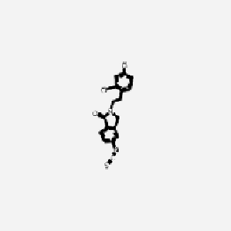 O=C1c2ccc(N=C=S)cc2CN1CCc1ccc(Cl)cc1Cl